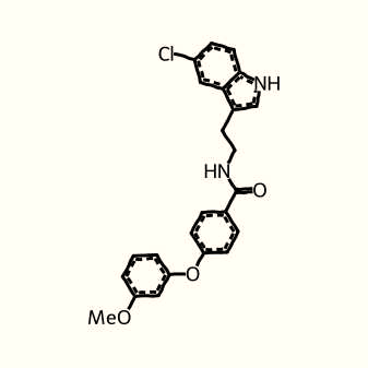 COc1cccc(Oc2ccc(C(=O)NCCc3c[nH]c4ccc(Cl)cc34)cc2)c1